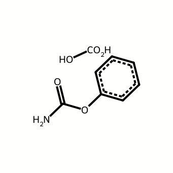 NC(=O)Oc1ccccc1.O=C(O)O